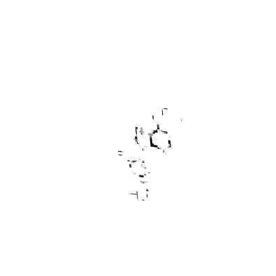 COc1ncnc2c1ncn2[C@@H]1O[C@H](CO)C[C@H]1F